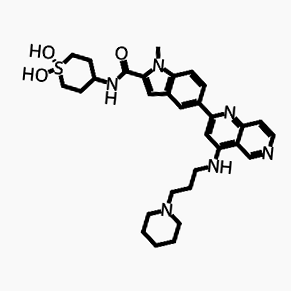 Cn1c(C(=O)NC2CCS(O)(O)CC2)cc2cc(-c3cc(NCCCN4CCCCC4)c4cnccc4n3)ccc21